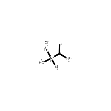 CCCC(C)[N+](O)(CC)CC.[Cl-]